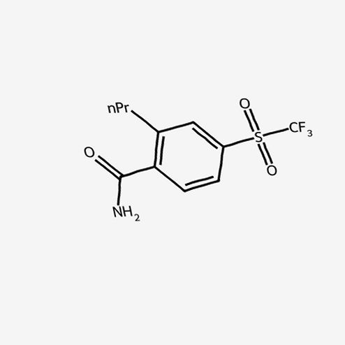 CCCc1cc(S(=O)(=O)C(F)(F)F)ccc1C(N)=O